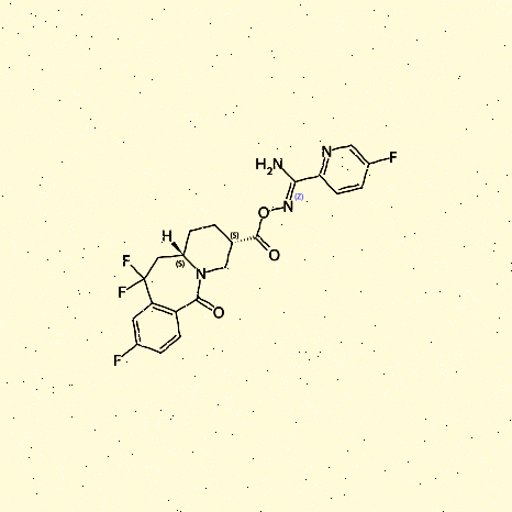 N/C(=N\OC(=O)[C@H]1CC[C@H]2CC(F)(F)c3cc(F)ccc3C(=O)N2C1)c1ccc(F)cn1